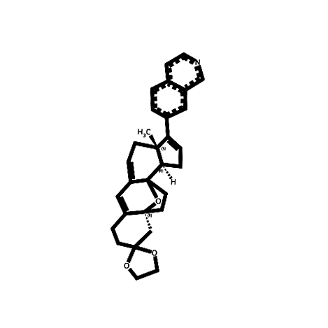 C[C@]12CC=C3C=C4CCC5(C[C@]46CCC3(O6)[C@@H]1CC=C2c1ccc2ccncc2c1)OCCO5